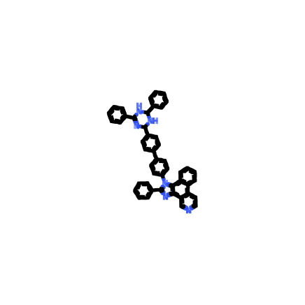 c1ccc(C2=NC(c3ccc(-c4ccc(-n5c(-c6ccccc6)nc6c7cnccc7c7ccccc7c65)cc4)cc3)NC(c3ccccc3)N2)cc1